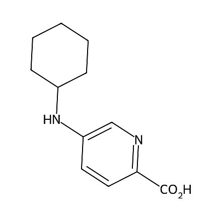 O=C(O)c1ccc(NC2CCCCC2)cn1